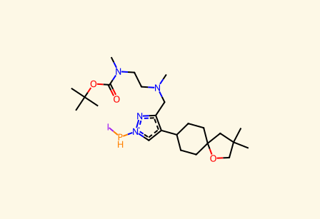 CN(CCN(C)C(=O)OC(C)(C)C)Cc1nn(PI)cc1C1CCC2(CC1)CC(C)(C)CO2